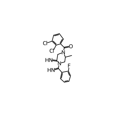 CC1CN(C(=N)c2ccccc2F)C(=N)CN1C(=O)c1cccc(Cl)c1Cl